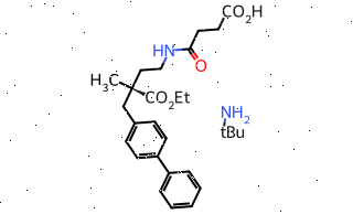 CC(C)(C)N.CCOC(=O)[C@@](C)(CCNC(=O)CCC(=O)O)Cc1ccc(-c2ccccc2)cc1